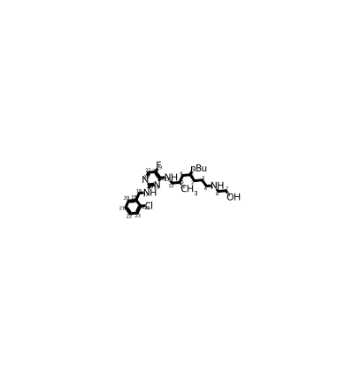 CCCCC(CCCNCCO)C[C@H](C)CNc1nc(NCc2ccccc2Cl)ncc1F